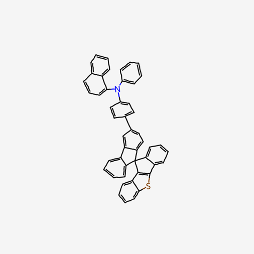 c1ccc(N(c2ccc(-c3ccc4c(c3)-c3ccccc3C43c4ccccc4-c4sc5ccccc5c43)cc2)c2cccc3ccccc23)cc1